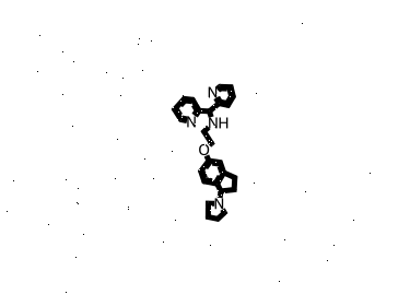 c1ccc(C(NCCOc2ccc3c(c2)CCC3N2CCCC2)c2ccccn2)nc1